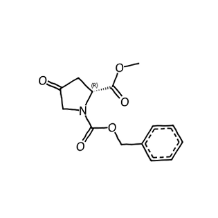 COC(=O)[C@H]1CC(=O)CN1C(=O)OCc1ccccc1